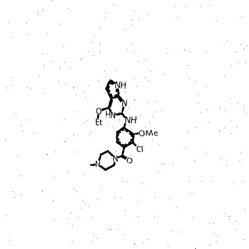 CCOC1=c2cc[nH]c2=NC(Nc2ccc(C(=O)N3CCN(C)CC3)c(Cl)c2OC)N1